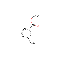 COc1cccc(C(=O)OC=O)c1